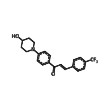 O=C(/C=C/c1ccc(C(F)(F)F)cc1)c1ccc(N2CCC(O)CC2)cc1